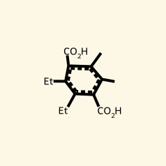 CCc1c(CC)c(C(=O)O)c(C)c(C)c1C(=O)O